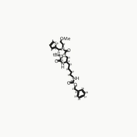 COCCN(Cc1cccs1)C(=O)OCC(CCCCNC(=O)OCc1ccccc1)NC(=O)OC(C)(C)C